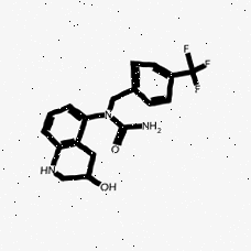 NC(=O)N(Cc1ccc(C(F)(F)F)cc1)c1cccc2c1CC(O)CN2